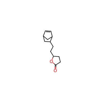 O=C1CCC(CCC2CC3C=CC2C3)O1